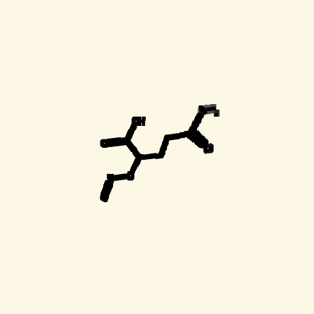 C=NOC(CCC(N)=O)C(=O)O